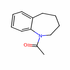 CC(=O)N1CCCCc2ccccc21